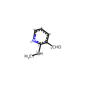 CBc1ncccc1C=O